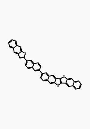 c1ccc2cc3sc(-c4ccc5cc(-c6ccc7cc8sc9c%10cc%11ccccc%11cc%10sc9c8cc7c6)ccc5c4)cc3cc2c1